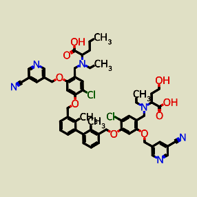 CCCC(C(=O)O)N(CC)Cc1cc(Cl)c(OCc2cccc(-c3cccc(COc4cc(OCc5cncc(C#N)c5)c(CN(CC)C(CCO)C(=O)O)cc4Cl)c3C)c2C)cc1OCc1cncc(C#N)c1